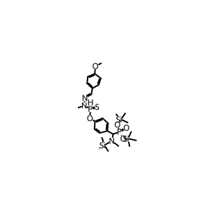 COc1ccc(/C=N/N(C)[PH](=S)Oc2ccc(C(N(C)[Si](C)(C)C)P(=O)(O[Si](C)(C)C)O[Si](C)(C)C)cc2)cc1